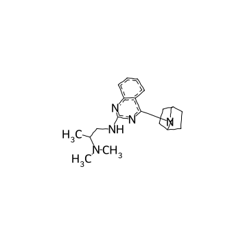 CC(CNc1nc(N2CC3CCC(CC3)C2)c2ccccc2n1)N(C)C